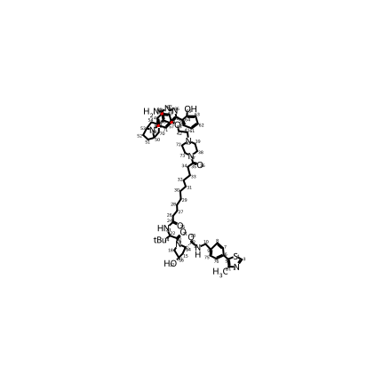 Cc1ncsc1-c1ccc(CNC(=O)[C@@H]2C[C@@H](O)CN2C(=O)C(NC(=O)CCCCCCCCCC(=O)N2CCN(CCOc3cccc(N4C5CCC4CN(c4cc(-c6ccccc6O)nnc4N)C5)c3)CC2)C(C)(C)C)cc1